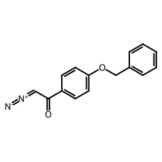 [N-]=[N+]=CC(=O)c1ccc(OCc2ccccc2)cc1